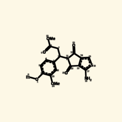 CCOc1ccc(C(CC(=O)OC)N2C(=O)c3csc(N)c3C2=O)cc1OC